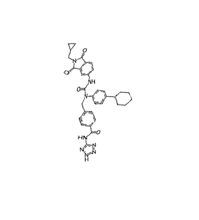 O=C(Nc1nn[nH]n1)c1ccc(CN(C(=O)Nc2ccc3c(c2)C(=O)N(CC2CC2)C3=O)c2ccc(C3CCCCC3)cc2)cc1